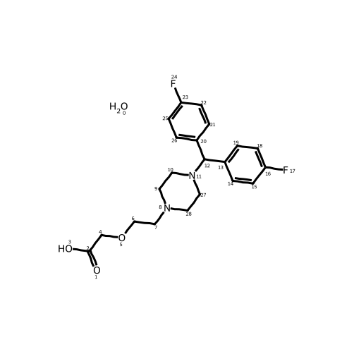 O.O=C(O)COCCN1CCN(C(c2ccc(F)cc2)c2ccc(F)cc2)CC1